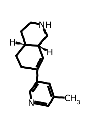 Cc1cncc(C2=C[C@H]3CNCC[C@H]3CC2)c1